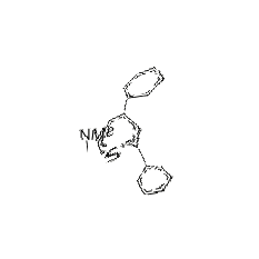 CNC.c1ccc(-c2cc[s+]c(-c3ccccc3)c2)cc1